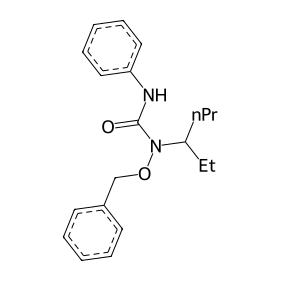 CCCC(CC)N(OCc1ccccc1)C(=O)Nc1ccccc1